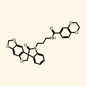 O=C(NCCCN1C(=O)C2(COc3cc4c(cc32)OCO4)c2ccccc21)c1ccc2c(c1)OCCO2